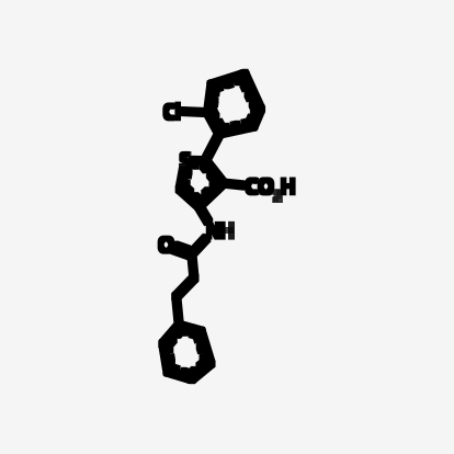 O=C(CCc1ccccc1)Nc1csc(-c2ccccc2Cl)c1C(=O)O